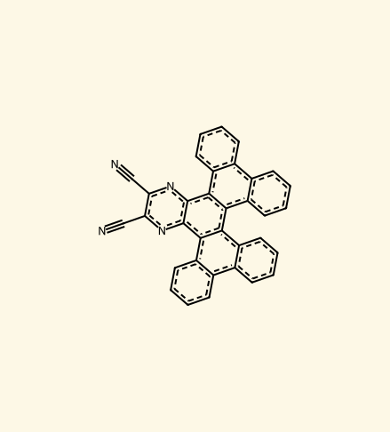 N#Cc1nc2c(nc1C#N)c1c3ccccc3c3ccccc3c1c1c3ccccc3c3ccccc3c21